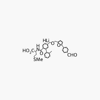 CSCC[C@H](NC(=O)c1ccc(COCc2ccc(-c3ccc(C=O)cc3)o2)cc1-c1ccccc1C)C(=O)O.[LiH]